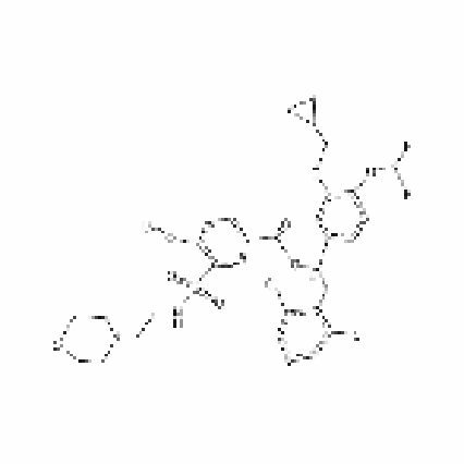 COc1ccc(C(=O)O[C@@H](Cc2c(Cl)cncc2Cl)c2ccc(OC(F)F)c(OCC3CC3)c2)cc1S(=O)(=O)NCCN1CCOCC1